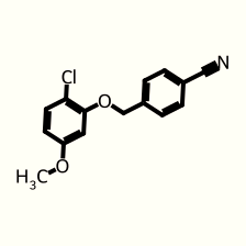 COc1ccc(Cl)c(OCc2ccc(C#N)cc2)c1